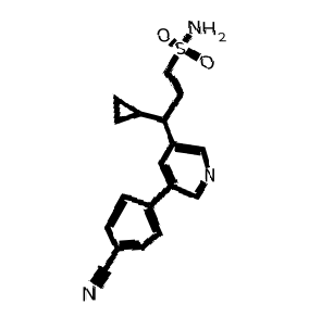 N#Cc1ccc(-c2cncc(C(CCS(N)(=O)=O)C3CC3)c2)cc1